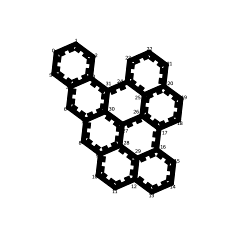 c1ccc2c(c1)cc1cc3ccc4cccc5c6ccc7cccc8c7c6c(c3c45)c1c28